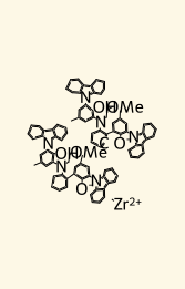 COCCN(c1ccccc1-c1cc(C)cc(-n2c3ccccc3c3ccccc32)c1[O-])c1cc(C)cc(-n2c3ccccc3c3ccccc32)c1O.COCCN(c1ccccc1-c1cc(C)cc(-n2c3ccccc3c3ccccc32)c1[O-])c1cc(C)cc(-n2c3ccccc3c3ccccc32)c1O.[CH3][Zr+2][CH3]